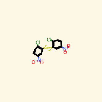 O=[N+]([O-])c1ccc(Cl)c(SSc2cc([N+](=O)[O-])ccc2Cl)c1